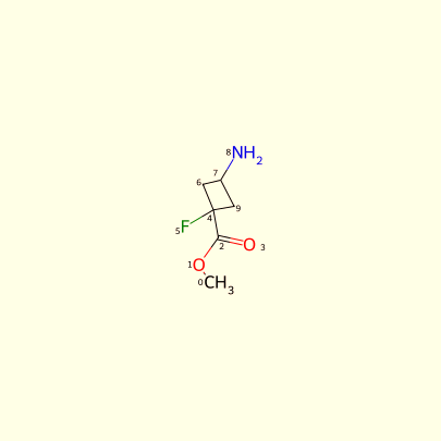 COC(=O)C1(F)CC(N)C1